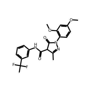 COc1ccc(N2N=C(C)C(C(=O)Nc3cccc(C(C)(F)F)c3)C2=O)c(OC)c1